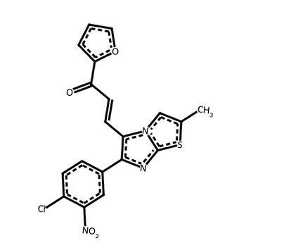 Cc1cn2c(/C=C/C(=O)c3ccco3)c(-c3ccc(Cl)c([N+](=O)[O-])c3)nc2s1